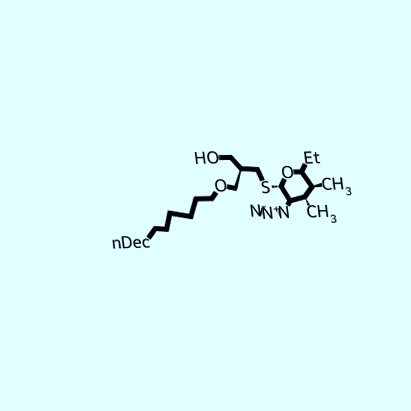 CCCCCCCCCCCCCCCCOC[C@@H](CO)CS[C@@H]1OC(CC)[C@@H](C)[C@H](C)C1N=[N+]=[N-]